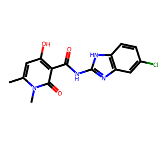 Cc1cc(O)c(C(=O)Nc2nc3cc(Cl)ccc3[nH]2)c(=O)n1C